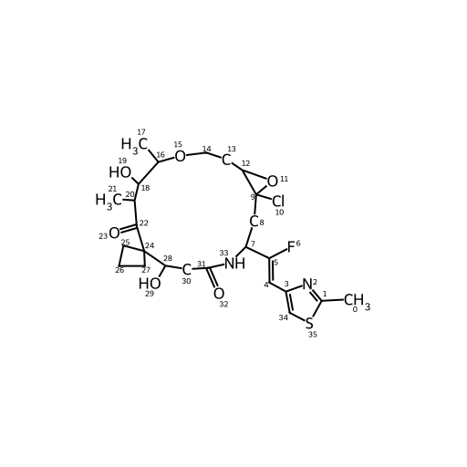 Cc1nc(C=C(F)C2CC3(Cl)OC3CCOC(C)C(O)C(C)C(=O)C3(CCC3)C(O)CC(=O)N2)cs1